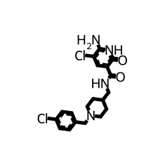 Nc1[nH]c(=O)c(C(=O)NCC2CCN(Cc3ccc(Cl)cc3)CC2)cc1Cl